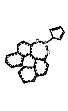 C1=CC(p2oc3ccc4ccccc4c3c3c(ccc4ccccc43)o2)C=C1